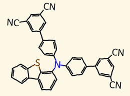 N#Cc1cc(C#N)cc(-c2ccc(N(c3ccc(-c4cc(C#N)cc(C#N)c4)cc3)c3cccc4c3sc3ccccc34)cc2)c1